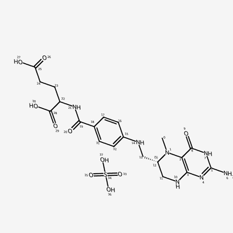 CN1c2c(nc(N)[nH]c2=O)NC[C@@H]1CNc1ccc(C(=O)NC(CCC(=O)O)C(=O)O)cc1.O=S(=O)(O)O